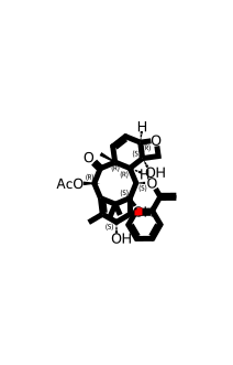 C=C(O[C@H]1[C@@H]2[C@]3(O)CO[C@@H]3C=C[C@@]2(C)C(=O)[C@H](OC(C)=O)C2=C(C)[C@@H](O)C[C@]1(O)C2(C)C)c1ccccc1